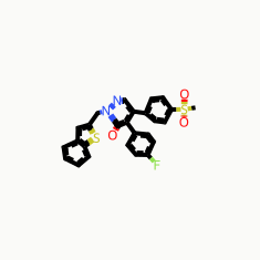 CS(=O)(=O)c1ccc(-c2cnn(Cc3cc4ccccc4s3)c(=O)c2-c2ccc(F)cc2)cc1